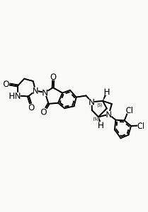 O=C1CCN(N2C(=O)c3ccc(CN4C[C@@H]5C[C@H]4CN5c4cccc(Cl)c4Cl)cc3C2=O)C(=O)N1